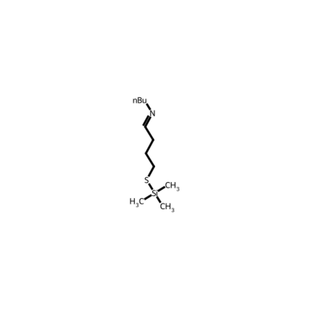 CCCCN=CCCCS[Si](C)(C)C